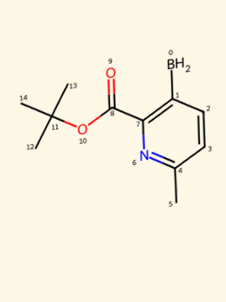 Bc1ccc(C)nc1C(=O)OC(C)(C)C